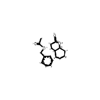 CC(=O)OCc1ccccc1.O=C1CCC2CCCCC2O1